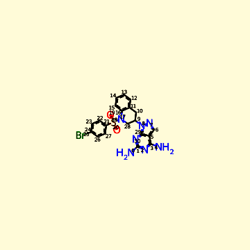 Nc1nc(N)c2cnn(C3Cc4ccccc4N(S(=O)(=O)c4ccc(Br)cc4)C3)c2n1